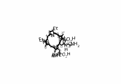 CCC1=Cc2cc3[nH]c(cc4nc(c(CC(=O)NCCN)c5[nH]c(cc1n2)c(C)c5C(=O)O)C(CCC(=O)O)C4C)c(C)c3CC.[NaH].[NaH]